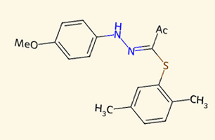 COc1ccc(N/N=C(/Sc2cc(C)ccc2C)C(C)=O)cc1